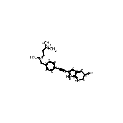 CN(C)CCN(C)Cc1ccc(C#Cc2cc3c([nH]2)=NCC(F)C=3)cc1